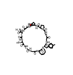 CCCC1NC(=O)CC(C(N)=O)NC(=O)CNC(=O)C2(CCC2[C@@H](C)CC)NC(=O)C2CCCN2C(=O)CNC(=O)CNC(=O)C(Cc2ccc(C)cc2)N2CCC=CCC(NC(=O)CNC(=O)CNC1=O)C2=O